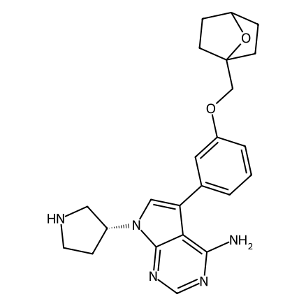 Nc1ncnc2c1c(-c1cccc(OCC34CCC(CC3)O4)c1)cn2[C@@H]1CCNC1